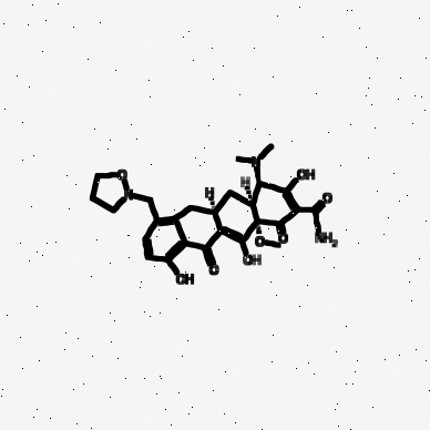 CO[C@@]12C(=O)C(C(N)=O)=C(O)[C@H](N(C)C)[C@@H]1C[C@@H]1Cc3c(CN4CCCO4)ccc(O)c3C(=O)C1=C2O